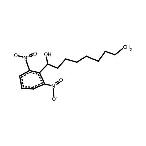 CCCCCCCCC(O)c1c([N+](=O)[O-])cccc1[N+](=O)[O-]